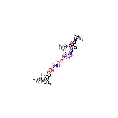 CCN(CC)c1ccc2c(-c3ccccc3C(=O)N3CCN(C(=O)CC[C@H](NC(=O)CCOCCOCCNC(=O)CCC(=O)O[C@H]4CC[C@@]5(C)C(=CCC6C5CC[C@@]5(C)C6CC[C@@H]5C(C)CCCC(C)C)C4)C(N)=O)CC3)c3ccc(=[N+](CC)CC)cc-3oc2c1